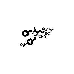 COP(=O)(CCC(C(=O)OCc1ccccc1)N(C=O)OCc1ccc([N+](=O)[O-])cc1)OCl